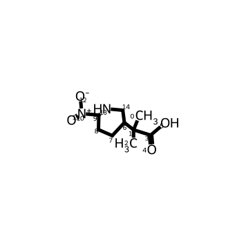 CC(C)(C(=O)O)C1CCC([N+](=O)[O-])NC1